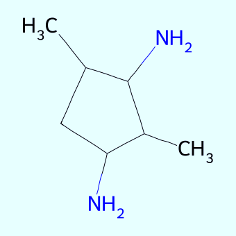 CC1CC(N)C(C)C1N